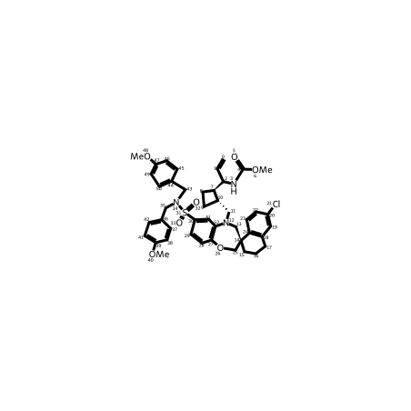 C=CC(NC(=O)OC)[C@@H]1CC[C@H]1CN1C[C@@]2(CCCc3cc(Cl)ccc32)COc2ccc(S(=O)(=O)N(Cc3ccc(OC)cc3)Cc3ccc(OC)cc3)cc21